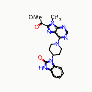 COC(=O)c1nc2c(N3CCC(n4c(=O)[nH]c5ccccc54)CC3)ncnc2n1C